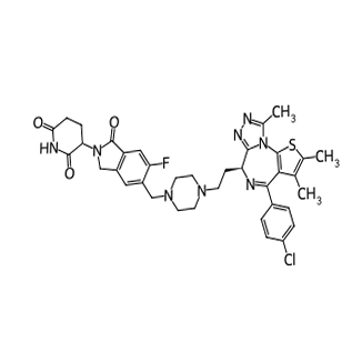 Cc1sc2c(c1C)C(c1ccc(Cl)cc1)=N[C@@H](CCN1CCN(Cc3cc4c(cc3F)C(=O)N(C3CCC(=O)NC3=O)C4)CC1)c1nnc(C)n1-2